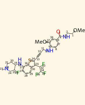 COCCNC(=O)c1ccc(NCC#Cc2sc3c(NC4CCN(C)CC4F)cccc3c2C(F)C(F)F)c(OC)c1